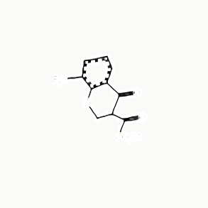 CCOC(=O)C(=O)C1CSc2c(cccc2C(F)(F)F)C1=O